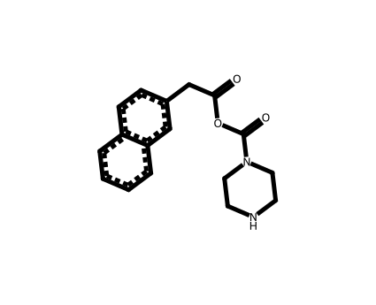 O=C(Cc1ccc2ccccc2c1)OC(=O)N1CCNCC1